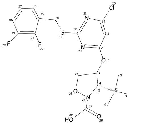 CC(C)(C)[C@H]1C(Oc2cc(Cl)nc(SCc3cccc(F)c3F)n2)CON1C(=O)O